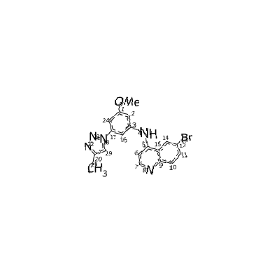 COc1cc(Nc2ccnc3ccc(Br)cc23)cc(-n2cc(C)nn2)c1